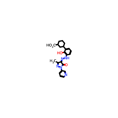 CC1=NN(c2cccnc2)C(=O)C1=NNc1cccc(C2CCCC(C(=O)O)C2)c1O